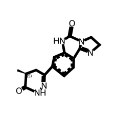 C[C@H]1CC(c2ccc3c(c2)NC(=O)N2CCN=C32)=NNC1=O